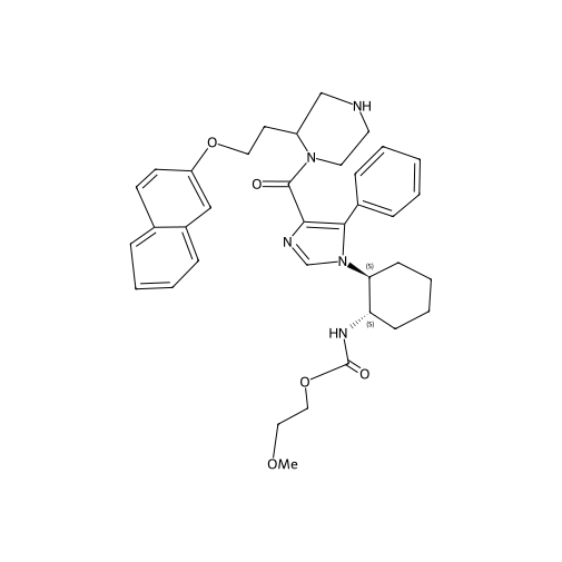 COCCOC(=O)N[C@H]1CCCC[C@@H]1n1cnc(C(=O)N2CCNCC2CCOc2ccc3ccccc3c2)c1-c1ccccc1